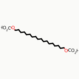 O=C(O)OCCCCCCCCCCCCCCCCCCOC(=O)O